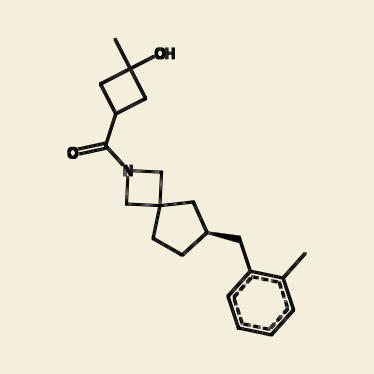 Cc1ccccc1C[C@H]1CCC2(C1)CN(C(=O)C1CC(C)(O)C1)C2